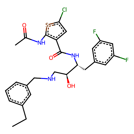 CCc1cccc(CNC[C@H](O)[C@@H](Cc2cc(F)cc(F)c2)NC(=O)c2cc(Cl)sc2NC(C)=O)c1